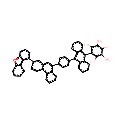 Bc1c(B)c(B)c(-c2c3ccccc3c(-c3ccc(-c4cc5cc(-c6cccc7oc8ccccc8c67)ccc5c5ccccc45)cc3)c3ccccc23)c(B)c1B